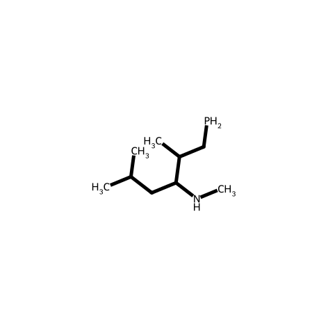 CNC(CC(C)C)C(C)CP